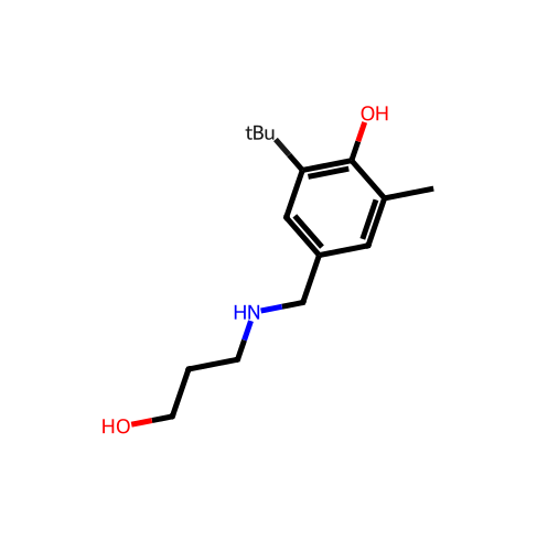 Cc1cc(CNCCCO)cc(C(C)(C)C)c1O